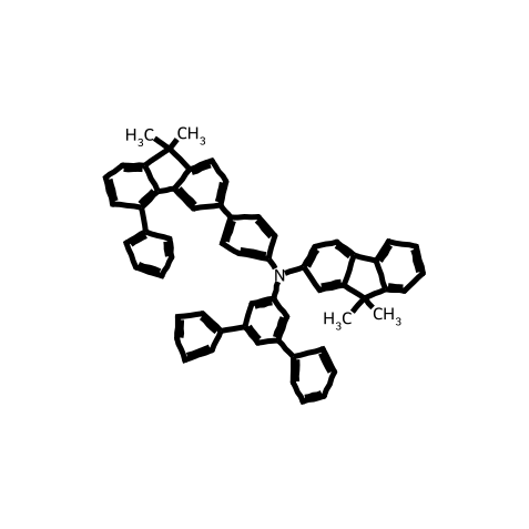 CC1(C)c2ccccc2-c2ccc(N(c3ccc(-c4ccc5c(c4)-c4c(-c6ccccc6)cccc4C5(C)C)cc3)c3cc(-c4ccccc4)cc(-c4ccccc4)c3)cc21